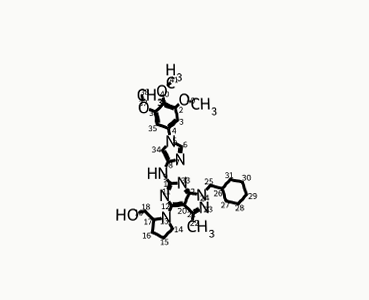 COc1cc(-n2cnc(Nc3nc(N4CCCC4CO)c4c(C)nn(CC5CCCCC5)c4n3)c2)cc(OC)c1OC